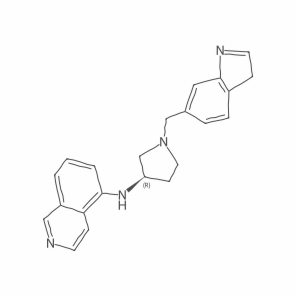 C1=Nc2cc(CN3CC[C@@H](Nc4cccc5cnccc45)C3)ccc2C1